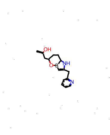 C=C(O)CC1CCC2NC(Cc3ccccn3)=CB2O1